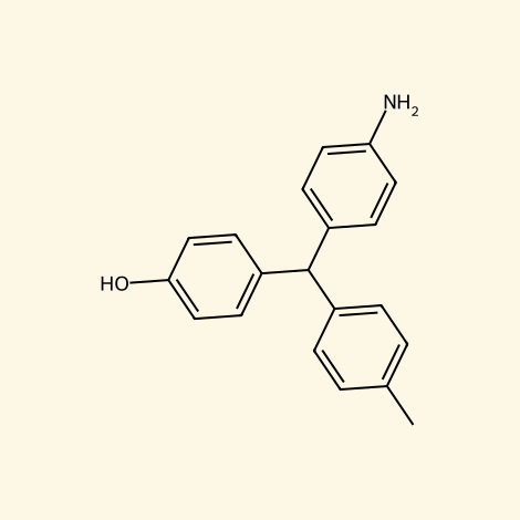 Cc1ccc(C(c2ccc(N)cc2)c2ccc(O)cc2)cc1